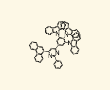 c1ccc(-c2nc(-c3cc(-n4c5ccccc5c5ccccc54)c(-n4c5ccccc5c5ccccc54)c(-n4c5ccccc5c5ccccc54)c3)cc(-c3cc4ccccc4c4ccccc34)n2)cc1